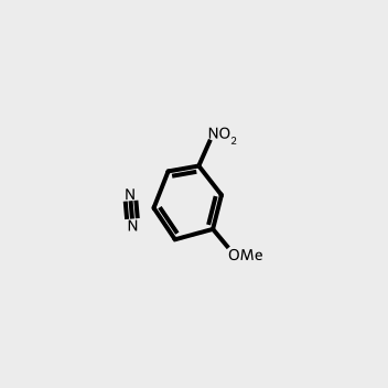 COc1cccc([N+](=O)[O-])c1.N#N